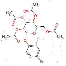 CC(=O)OC[C@H]1O[C@H](Oc2ccc(Br)cc2F)[C@@H](OC(C)=O)[C@H](OC(C)=O)[C@H]1OC(C)=O